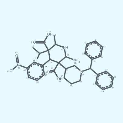 CC(C)C1(C(=O)O)C(C)NC(N)C(C(=O)O)(C2CCCN(C(c3ccccc3)c3ccccc3)C2)C1c1cccc([N+](=O)[O-])c1